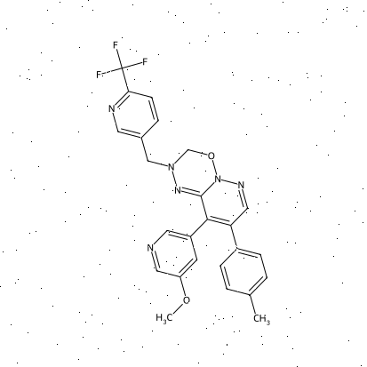 COc1cncc(C2=C(c3ccc(C)cc3)C=NN3OCN(Cc4ccc(C(F)(F)F)nc4)N=C23)c1